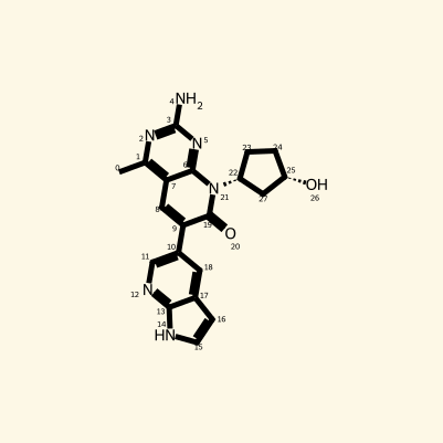 Cc1nc(N)nc2c1cc(-c1cnc3[nH]ccc3c1)c(=O)n2[C@@H]1CC[C@H](O)C1